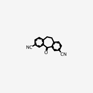 N#Cc1ccc2c(c1)C(=O)c1cc(C#N)ccc1CC2